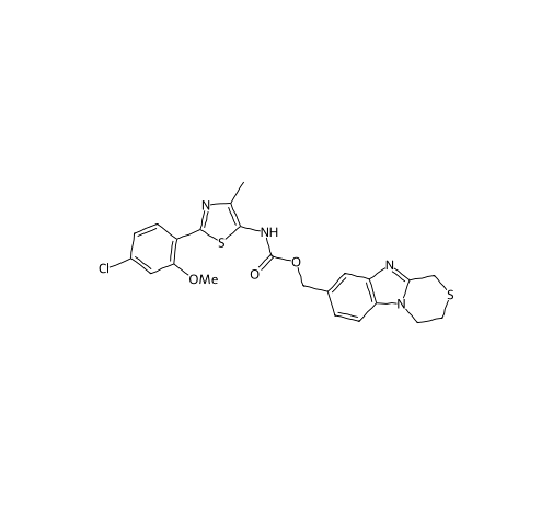 COc1cc(Cl)ccc1-c1nc(C)c(NC(=O)OCc2ccc3c(c2)nc2n3CCSC2)s1